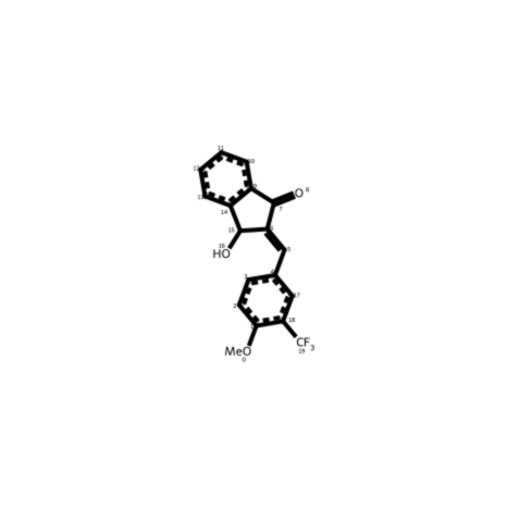 COc1ccc(C=C2C(=O)c3ccccc3C2O)cc1C(F)(F)F